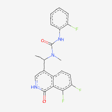 CC(c1c[nH]c(=O)c2c(F)c(F)ccc12)N(C)C(=O)Nc1ccccc1F